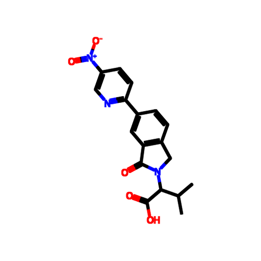 CC(C)C(C(=O)O)N1Cc2ccc(-c3ccc([N+](=O)[O-])cn3)cc2C1=O